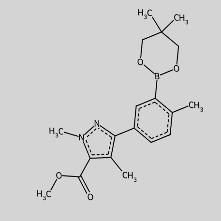 COC(=O)c1c(C)c(-c2ccc(C)c(B3OCC(C)(C)CO3)c2)nn1C